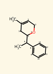 CC1=CCOC(C(C)c2ccccc2)C1